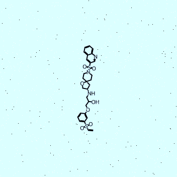 C=CS(=O)(=O)c1cccc(OCC(O)CN[C@H]2COC3(CCN(S(=O)(=O)c4cnc5ccccc5c4)CC3)C2)c1